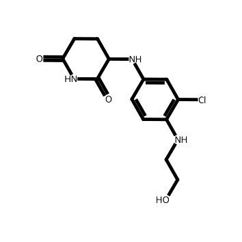 O=C1CCC(Nc2ccc(NCCO)c(Cl)c2)C(=O)N1